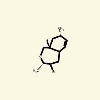 CCC1CC2C=C[C@@H](C)C[C@H]2CS[C@H]1C